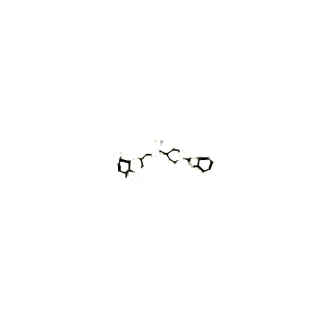 COc1ccc(OC)c2c1OCC(CNCC1CCN(c3nc4ccccc4s3)CC1)O2.Cl.Cl